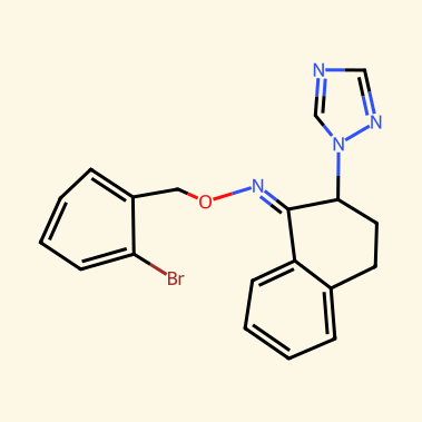 Brc1ccccc1CON=C1c2ccccc2CCC1n1cncn1